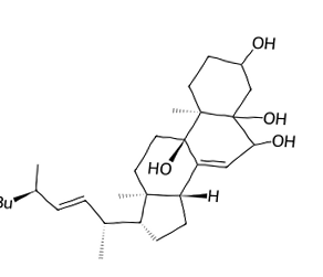 CCC(C)[C@@H](C)C=C[C@@H](C)[C@H]1CC[C@H]2C3=CC(O)C4(O)CC(O)CC[C@]4(C)[C@@]3(O)CC[C@]12C